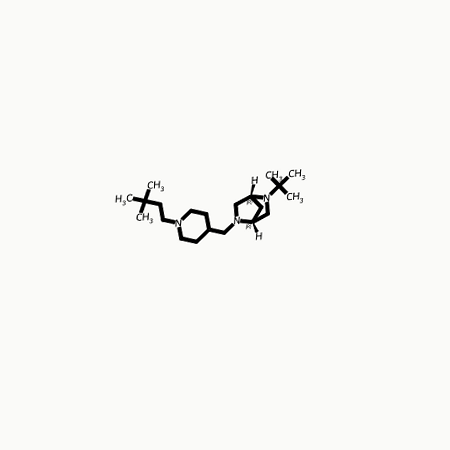 CC(C)(C)CCN1CCC(CN2C[C@H]3C[C@@H]2CN3C(C)(C)C)CC1